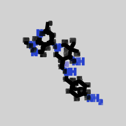 Cc1cc(N2C/C(=C/NCC34CCC(N)(CC3)CC4)C(=N)C(C)(C)C2)c2cnn(C)c2n1